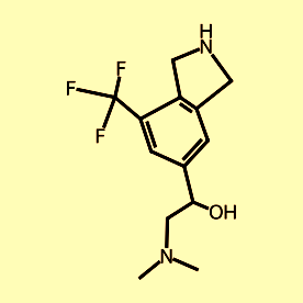 CN(C)CC(O)c1cc2c(c(C(F)(F)F)c1)CNC2